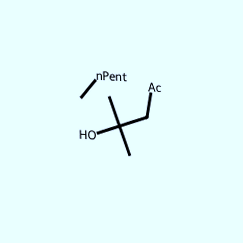 CC(=O)CC(C)(C)O.CCCCCC